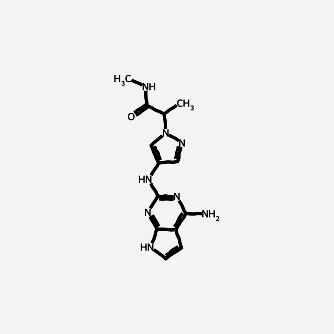 CNC(=O)C(C)n1cc(Nc2nc(N)c3cc[nH]c3n2)cn1